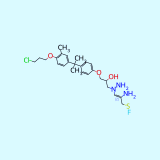 Cc1cc(C(C)(C)c2ccc(OCC(O)CN(N)/C=C(\N)CSF)cc2)ccc1OCCCCl